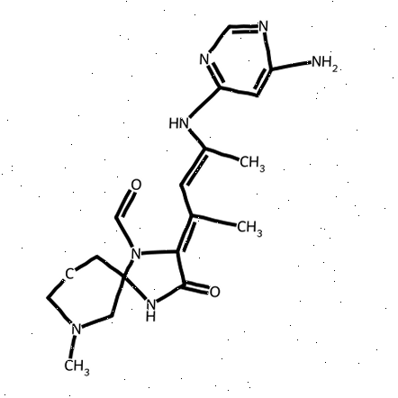 CC(/C=C(\C)Nc1cc(N)ncn1)=C1\C(=O)NC2(CCCN(C)C2)N1C=O